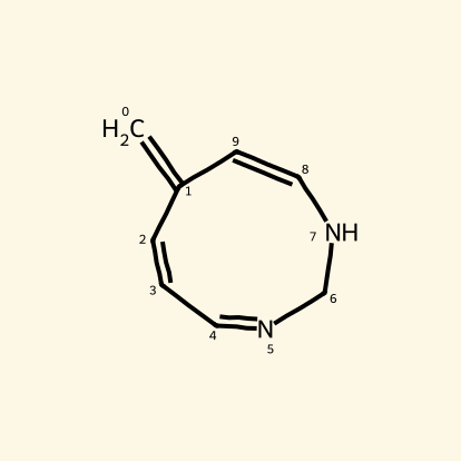 C=C1/C=C\C=N/CN/C=C\1